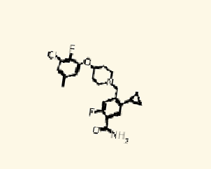 Cc1cc(Cl)c(F)c(OC2CCN(Cc3cc(F)c(C(N)=O)cc3C3CC3)CC2)c1